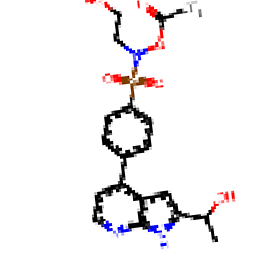 CC(O)c1cc2c(-c3ccc(S(=O)(=O)N(CCO)OC(=O)C(F)(F)F)cc3)ccnc2[nH]1